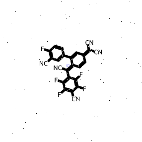 N#CC(C#N)=c1cc/c(=C(/C#N)c2c(F)c(F)c(C#N)c(F)c2F)c(-c2ccc(F)c(C#N)c2)c1